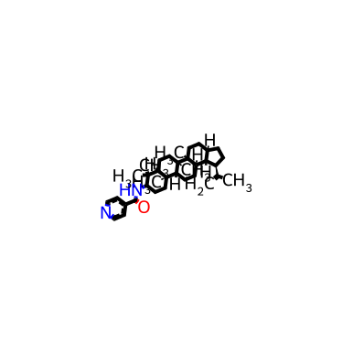 C=C(C)[C@@H]1CC[C@@H]2CC[C@]3(C)[C@H](CC[C@@H]4[C@@]5(C)CCC(NC(=O)c6ccncc6)C(C)(C)[C@@H]5CC[C@]43C)[C@H]21